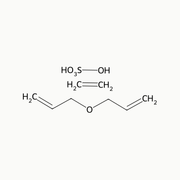 C=C.C=CCOCC=C.O=S(=O)(O)O